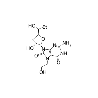 CCC(O)[C@@H]1C[C@@H](O)[C@H](n2c(=O)n(CCO)c3c(=O)[nH]c(N)nc32)O1